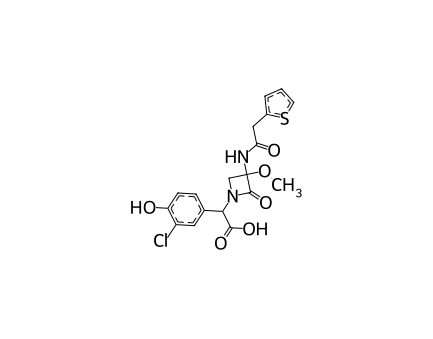 COC1(NC(=O)Cc2cccs2)CN(C(C(=O)O)c2ccc(O)c(Cl)c2)C1=O